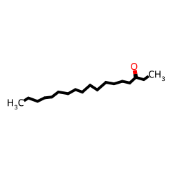 CCCCCCCCCCCCCCCC(=O)CC